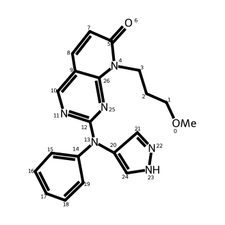 COCCCn1c(=O)ccc2cnc(N(c3ccccc3)c3cn[nH]c3)nc21